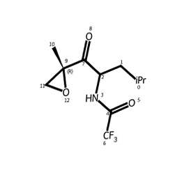 CC(C)CC(NC(=O)C(F)(F)F)C(=O)[C@@]1(C)CO1